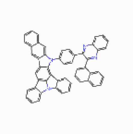 c1ccc2cc3c(cc2c1)c1cc2c4ccccc4n4c5ccccc5c(c1n3-c1ccc(-c3nc5ccccc5nc3-c3cccc5ccccc35)cc1)c24